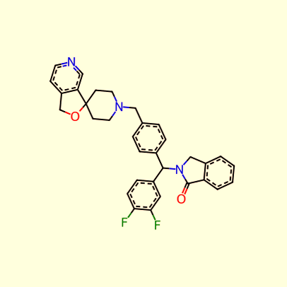 O=C1c2ccccc2CN1C(c1ccc(CN2CCC3(CC2)OCc2ccncc23)cc1)c1ccc(F)c(F)c1